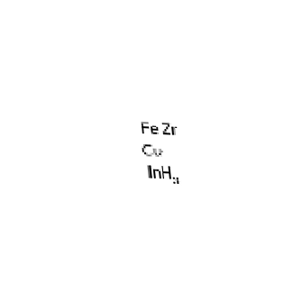 [Cu].[Fe].[InH3].[Zr]